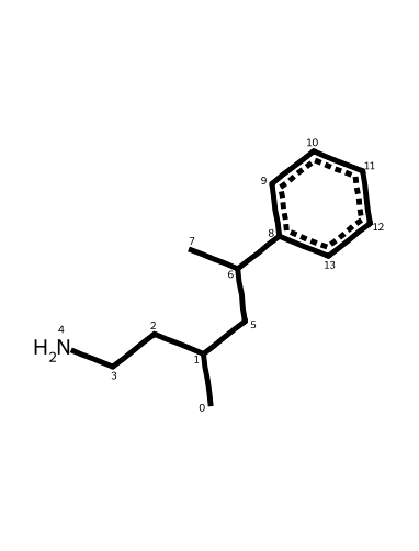 CC(CCN)CC(C)c1ccccc1